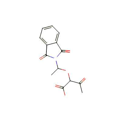 CC(=O)C(OC(C)N1C(=O)c2ccccc2C1=O)C(=O)O